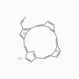 O=Cc1cc2cc3nc(cc4ccc(cc5nc(cc1[nH]2)C=C5)[nH]4)C=C3.[Cu]